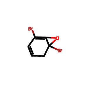 BrC1=C2OC2(Br)CC=C1